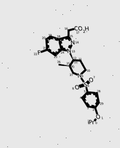 CC(C)Oc1ccc(S(=O)(=O)N2CC[C@H](n3nc(CC(=O)O)c4ccc(F)cc43)[C@H](C)C2)cc1